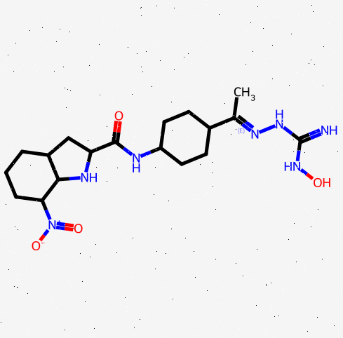 C/C(=N\NC(=N)NO)C1CCC(NC(=O)C2CC3CCCC([N+](=O)[O-])C3N2)CC1